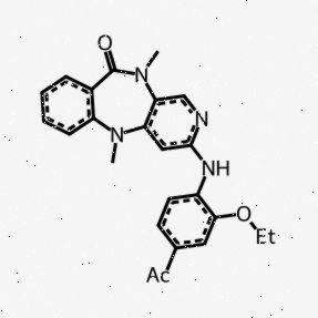 CCOc1cc(C(C)=O)ccc1Nc1cc2c(cn1)N(C)C(=O)c1ccccc1N2C